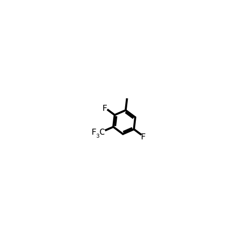 Cc1cc(F)cc(C(F)(F)F)c1F